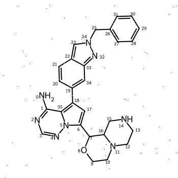 Nc1ncnn2c(C3OCCN4CCNCC34)cc(-c3ccc4cn(Cc5ccccc5)nc4c3)c12